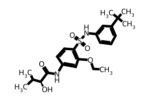 CCOc1cc(NC(=O)[C@@H](O)C(C)C)ccc1S(=O)(=O)Nc1cccc(C(C)(C)C)c1